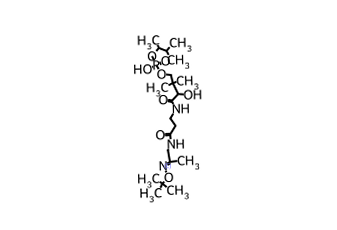 C/C(CNC(=O)CCNC(=O)C(O)C(C)(C)COP(=O)(O)OC(C)C(C)C)=N\OC(C)(C)C